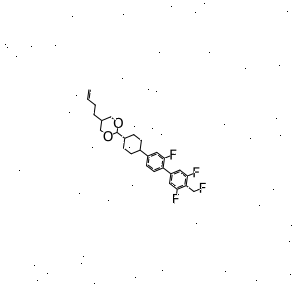 C=CCCC1COC(C2CCC(c3ccc(-c4cc(F)c(CF)c(F)c4)c(F)c3)CC2)OC1